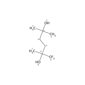 CC(C)(O)CCC(C)(O)C(F)(F)F